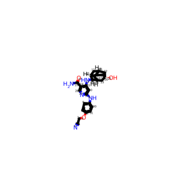 N#CCOc1ccc(Nc2cc(N[C@@H]3[C@@H]4C[C@@H]5C[C@H]3C[C@@](O)(C5)C4)c(C(N)=O)cn2)cc1